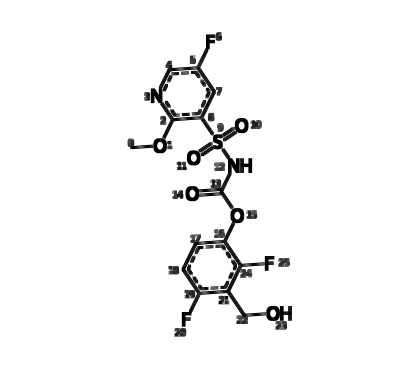 COc1ncc(F)cc1S(=O)(=O)NC(=O)Oc1ccc(F)c(CO)c1F